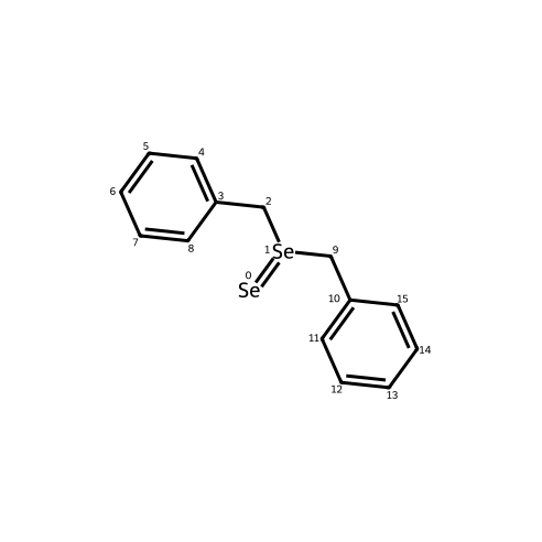 [Se]=[Se](Cc1ccccc1)Cc1ccccc1